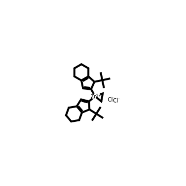 CC(C)(C)C1[C]([Zr+2]2([C]3=CC4=C(CCCC4)C3C(C)(C)C)[CH2][CH2]2)=CC2=C1CCCC2.[Cl-].[Cl-]